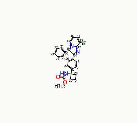 CC(C)(C)OC(=O)NC1(c2ccc(C3N=C4C(F)=CC=CN4C3c3ccccc3)cc2)CCC1